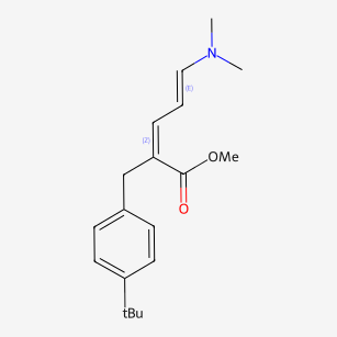 COC(=O)/C(=C\C=C\N(C)C)Cc1ccc(C(C)(C)C)cc1